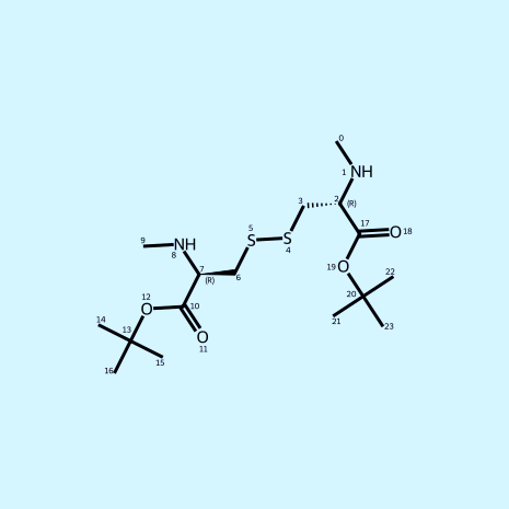 CN[C@@H](CSSC[C@H](NC)C(=O)OC(C)(C)C)C(=O)OC(C)(C)C